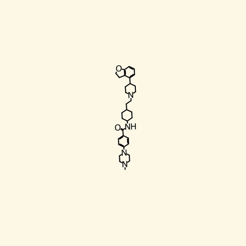 CN1CCN(c2ccc(C(=O)NC3CCC(CCN4CCC(c5cccc6c5CCO6)CC4)CC3)cc2)CC1